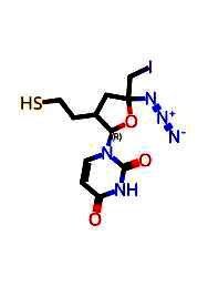 [N-]=[N+]=NC1(CI)CC(CCS)[C@H](n2ccc(=O)[nH]c2=O)O1